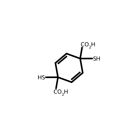 O=C(O)C1(S)C=CC(S)(C(=O)O)C=C1